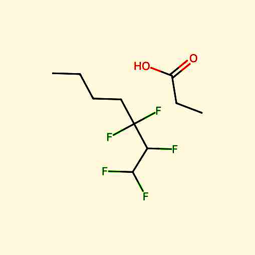 CCC(=O)O.CCCCC(F)(F)C(F)C(F)F